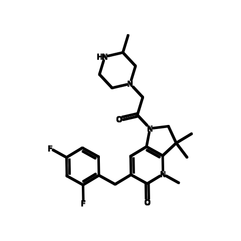 CC1CN(CC(=O)N2CC(C)(C)c3c2cc(Cc2ccc(F)cc2F)c(=O)n3C)CCN1